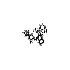 O=C(N[C@H]1CCCC[C@@H]1O)C1CN(Cc2ccc(-n3cccn3)cc2F)c2ccccc2O1